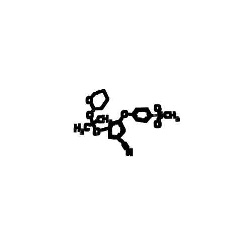 CC(C)(Oc1cc(C#N)cc(Oc2ccc(S(C)(=O)=O)cc2)c1)OC1CCCCO1